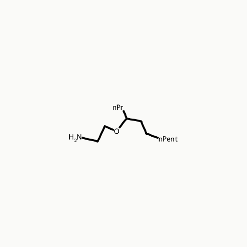 CCCCCCCC(CCC)OCCN